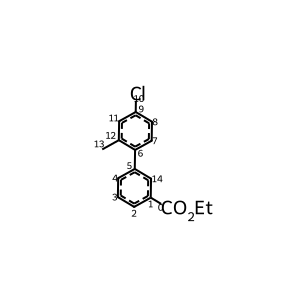 CCOC(=O)c1cccc(-c2ccc(Cl)cc2C)c1